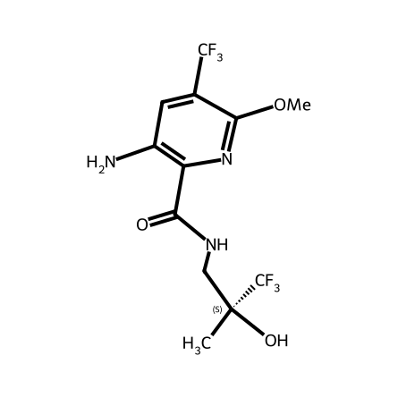 COc1nc(C(=O)NC[C@](C)(O)C(F)(F)F)c(N)cc1C(F)(F)F